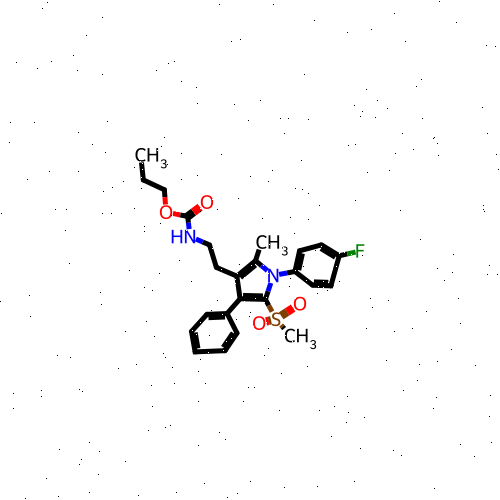 CCCOC(=O)NCCc1c(-c2ccccc2)c(S(C)(=O)=O)n(-c2ccc(F)cc2)c1C